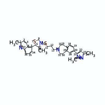 Cc1ccc2c(C3SCN(SCCCN4CCc5ccc(-c6cc(C)nn6C)cc5CC4)C3C)cccc2n1